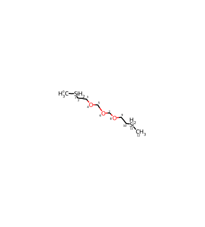 C[SiH2]CCOCOCOCC[SiH2]C